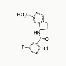 O=C(O)c1ccc2c(c1)C(NC(=O)c1cc(F)ccc1Cl)CC2